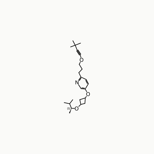 CC(C)[C@H](C)OC1CC(Oc2ccc(CCCOC#CC(C)(C)C)nc2)C1